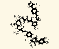 Cc1ncsc1-c1ccc(CNC(=O)[C@@H]2C[C@@H](O)CN2C(=O)CNC(=O)CN(C)C(=O)CN(C)C(=O)CN(C)C(=O)COc2ccc(N3C(=S)N(c4ccc(C#N)c(C(F)(F)F)c4)C(=O)C3(C)C)cc2)cc1